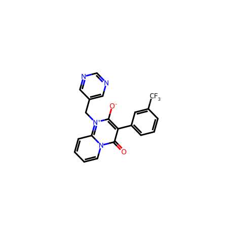 O=c1c(-c2cccc(C(F)(F)F)c2)c([O-])[n+](Cc2cncnc2)c2ccccn12